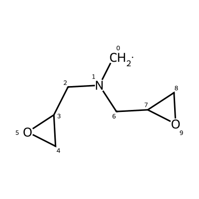 [CH2]N(CC1CO1)CC1CO1